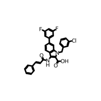 O=C(C=Cc1ccccc1)Nc1c(C(=O)O)n(Cc2cccc(Cl)c2)c2cc(-c3cc(F)cc(F)c3)ccc12